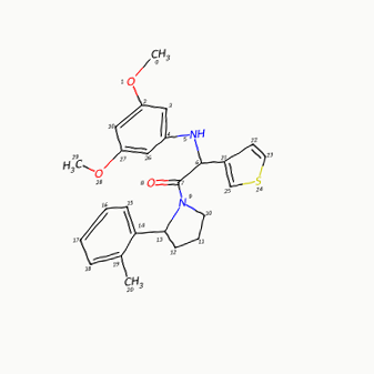 COc1cc(NC(C(=O)N2CCCC2c2ccccc2C)c2ccsc2)cc(OC)c1